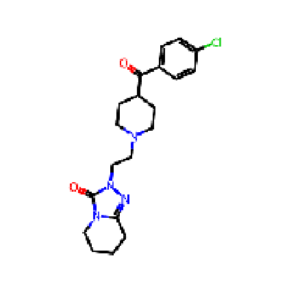 O=C(c1ccc(Cl)cc1)C1CCN(CCn2nc3n(c2=O)CCCC3)CC1